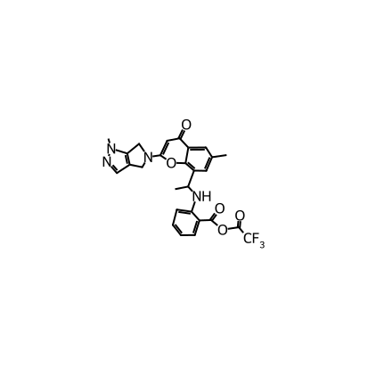 Cc1cc(C(C)Nc2ccccc2C(=O)OC(=O)C(F)(F)F)c2oc(N3Cc4cnn(C)c4C3)cc(=O)c2c1